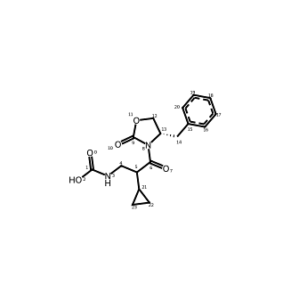 O=C(O)NCC(C(=O)N1C(=O)OC[C@@H]1Cc1ccccc1)C1CC1